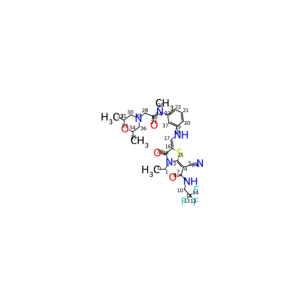 CCn1c(=C(C#N)C(=O)NCC(F)(F)F)sc(=CNc2cccc(N(C)C(=O)CN3CC(C)OC(C)C3)c2)c1=O